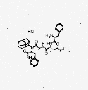 CSCC[C@@H](NC(=O)[C@@H](N)Cc1ccccc1)C(=O)NCC(=O)N(C1C2CC3CC(C2)CC1C3)[C@@H](Cc1ccccc1)C(N)=O.Cl